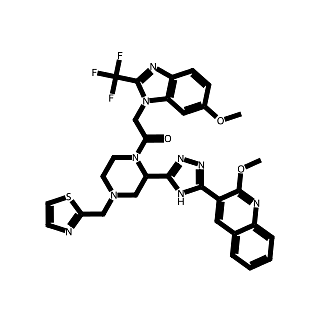 COc1ccc2nc(C(F)(F)F)n(CC(=O)N3CCN(Cc4nccs4)CC3c3nnc(-c4cc5ccccc5nc4OC)[nH]3)c2c1